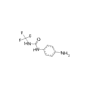 Nc1ccc(NC(=O)NC(F)(F)F)cc1